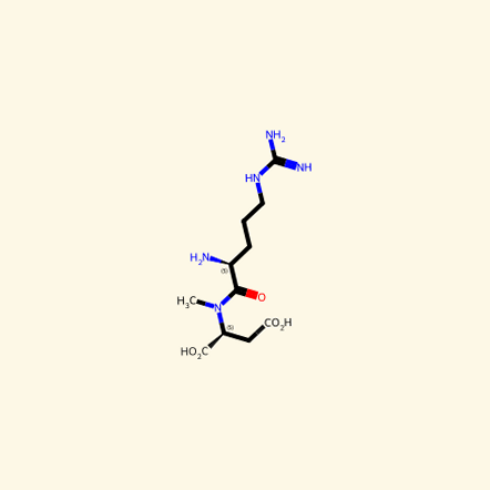 CN(C(=O)[C@@H](N)CCCNC(=N)N)[C@@H](CC(=O)O)C(=O)O